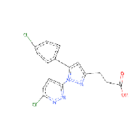 O=C(O)CCc1cc(-c2ccc(Cl)cc2)n(-c2ccc(Cl)nn2)n1